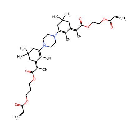 C=CC(=O)OCCCOC(=O)/C(C#N)=C1\CC(C)(C)CC(N2CCN(C3=C(C#N)/C(=C(\C#N)C(=O)OCCOC(=O)C=C)CC(C)(C)C3)CC2)=C1C#N